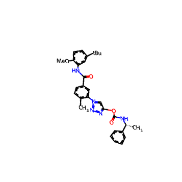 COc1ccc(C(C)(C)C)cc1NC(=O)c1ccc(C)c(-n2cc(OC(=O)N[C@H](C)c3ccccc3)nn2)c1